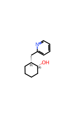 O[C@@H]1CCCC[C@@H]1Cc1ccccn1